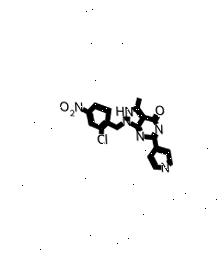 Cc1[nH]n(Cc2ccc([N+](=O)[O-])cc2Cl)c2nc(-c3ccncc3)nc(=O)c1-2